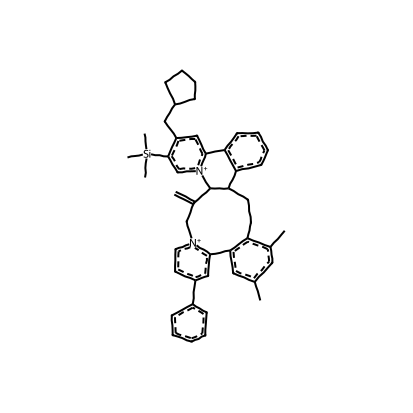 C=C1C[n+]2ccc(-c3ccccc3)cc2-c2cc(C)cc(C)c2CCC2c3ccccc3-c3cc(CC4CCCC4)c([Si](C)(C)C)c[n+]3C12